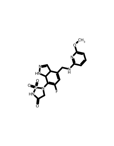 COc1cccc(NCC2=CC(F)=C(N3CC(=O)NS3(=O)=O)C3NN=CC23)n1